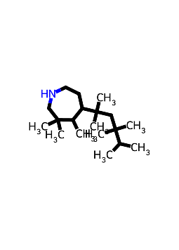 CC(C)C(C)(C)CC(C)(C)C1CCNCC(C)(C)C1C